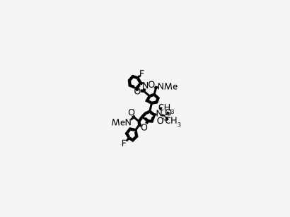 CNC(=O)c1ccc(-c2cc3c(C(=O)NC)c(-c4ccc(F)cc4)oc3cc2N(C)S(C)(=O)=O)cc1-c1nc2c(F)cccc2o1